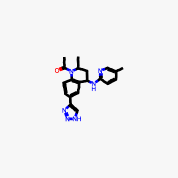 CC(=O)N1c2ccc(-c3c[nH]nn3)cc2C(Nc2ccc(C)cn2)CC1C